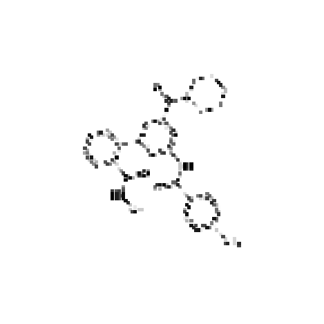 Cc1ccc(C(=O)Nc2cc(C(=O)N3CCCCC3)cc(-c3ccccc3C(=O)NO)c2)cc1